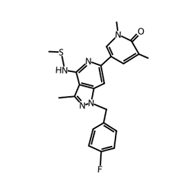 CSNc1nc(-c2cc(C)c(=O)n(C)c2)cc2c1c(C)nn2Cc1ccc(F)cc1